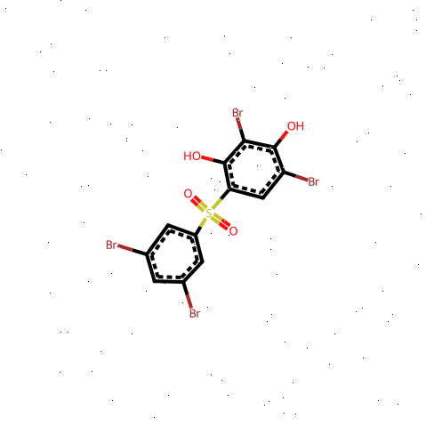 O=S(=O)(c1cc(Br)cc(Br)c1)c1cc(Br)c(O)c(Br)c1O